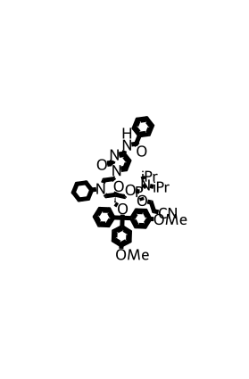 COc1ccc(C(OC[C@]2(COP(OCCC#N)N(C(C)C)C(C)C)CN(C3CCCCC3)C[C@H](n3ccc(NC(=O)c4ccccc4)nc3=O)O2)(c2ccccc2)c2ccc(OC)cc2)cc1